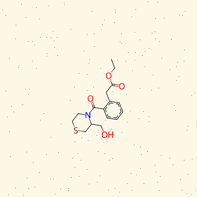 CCOC(=O)Cc1ccccc1C(=O)N1CCSCC1CO